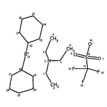 CCN(CC)CC.O=S(=O)([O-])C(F)(F)F.[B+](C1CCCCC1)C1CCCCC1